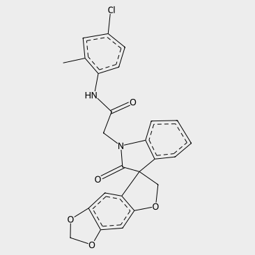 Cc1cc(Cl)ccc1NC(=O)CN1C(=O)C2(COc3cc4c(cc32)OCO4)c2ccccc21